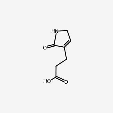 O=C(O)CCC1=CCNC1=O